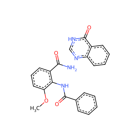 COc1cccc(C(N)=O)c1NC(=O)c1ccccc1.O=c1[nH]cnc2ccccc12